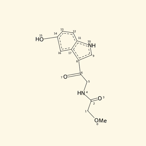 COCC(=O)NCC(=O)c1c[nH]c2ccc(O)cc12